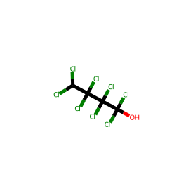 OC(Cl)(Cl)C(Cl)(Cl)C(Cl)(Cl)C(Cl)Cl